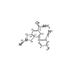 N#Cc1cc(F)ccc1-c1cc(C(N)=O)cc2c1CN(C#N)C2